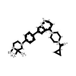 CCN1CCN(c2ccc(-c3cc4c(N5CCN(C(=O)C6CC6)CC5)ccnn4c3)cc2)CC1(C)C